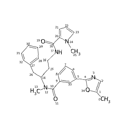 Cc1cnc(-c2cccc(C(=O)N(C)C(CCNC(=O)c3cccn3C)Cc3ccccc3)c2)o1